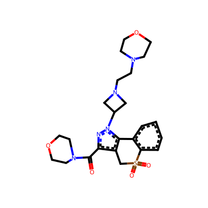 O=C(c1nn(C2CN(CCN3CCOCC3)C2)c2c1CS(=O)(=O)c1ccccc1-2)N1CCOCC1